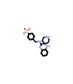 CS(=O)(=O)c1ccc(CNC2=Nc3ccccc3NC23CCNCC3)cc1